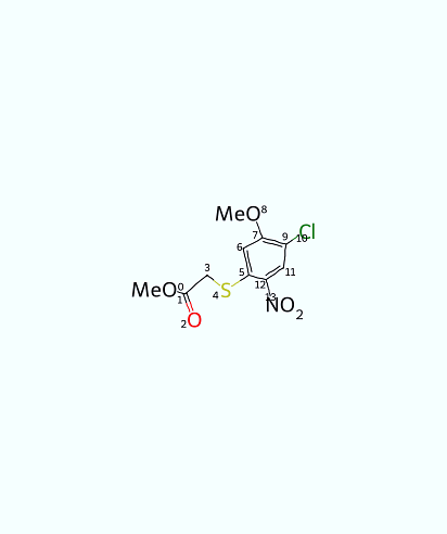 COC(=O)CSc1cc(OC)c(Cl)cc1[N+](=O)[O-]